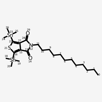 CCCCCCCCCCCCN1C(=O)c2[c]([Sn]([CH3])([CH3])[CH3])s[c]([Sn]([CH3])([CH3])[CH3])c2C1=O